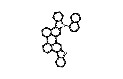 c1ccc2c(-n3c4ccccc4c4c5cccc6c7cccc8c9c(cc(c(cc43)c65)c78)oc3ccccc39)cccc2c1